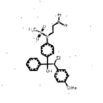 CCC(c1ccc(OC)cc1)C(O)(c1ccccc1)c1ccc(N(CCN(CC)CC)S(C)(=O)=O)cc1